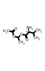 CC(=O)OC(C)OC(=O)[C@@H](N)C(C)C